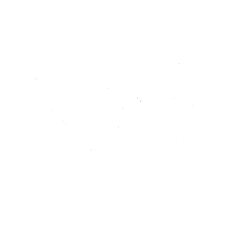 c1ccc2c(c1)Oc1cc(-n3c4ccccc4c4ccccc43)cc3c1B2Oc1ccccc1-3